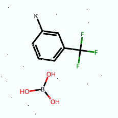 FC(F)(F)c1ccc[c]([K])c1.OB(O)O